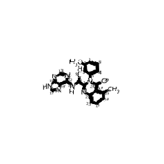 Cc1cccc(-n2c(C(C)Nc3ncnc4[nH]cnc34)nc3cccc(C)c3c2=O)c1